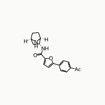 CC(=O)c1ccc(-c2ccc(C(=O)N[C@@H]3C[C@H]4CC[C@@H]3N4)o2)cc1